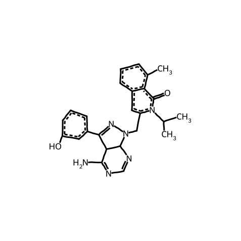 Cc1cccc2cc(CN3N=C(c4cccc(O)c4)C4C(N)=NC=NC43)n(C(C)C)c(=O)c12